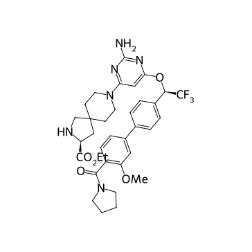 CCOC(=O)[C@@H]1CC2(CCN(c3cc(O[C@H](c4ccc(-c5ccc(C(=O)N6CCCC6)c(OC)c5)cc4)C(F)(F)F)nc(N)n3)CC2)CN1